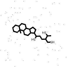 CC(S)C(CS)CCC(S)C1CCC2C1CCC1C2CCC2CCCCC21C